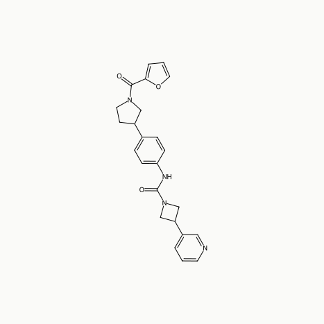 O=C(Nc1ccc(C2CCN(C(=O)c3ccco3)C2)cc1)N1CC(c2cccnc2)C1